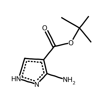 CC(C)(C)OC(=O)c1c[nH]nc1N